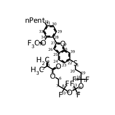 C=C(C)C(=O)OCCC(F)(F)OC(F)(F)OC(F)(F)CCSc1ccc2cc(-c3ccc(CCCCC)cc3OC(F)(F)F)oc2c1